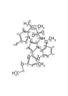 CCOc1cccc(-c2nnc(NS(=O)(=O)[C@@H](C)[C@H](C)c3ncc(F)cn3)n2-c2c(OC)cccc2OC)n1